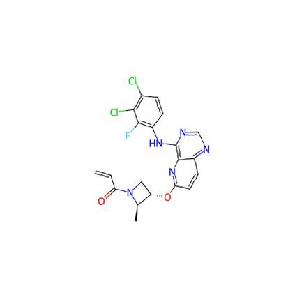 C=CC(=O)N1C[C@H](Oc2ccc3ncnc(Nc4ccc(Cl)c(Cl)c4F)c3n2)[C@H]1C